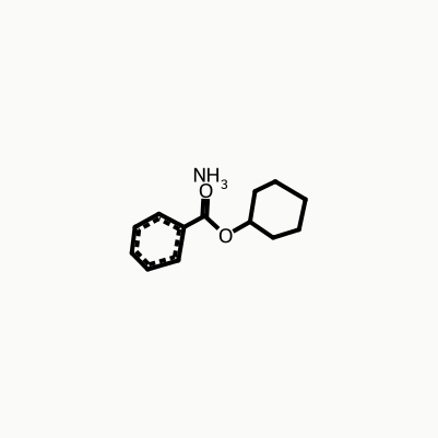 N.O=C(OC1CCCCC1)c1ccccc1